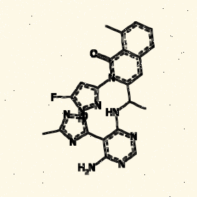 Cc1noc(-c2c(N)ncnc2NC(C)c2cc3cccc(C)c3c(=O)n2-c2cc(F)[nH]n2)n1